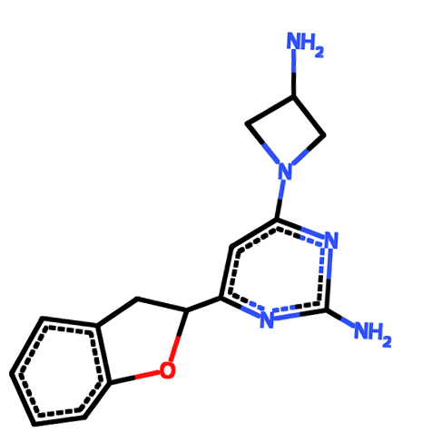 Nc1nc(C2Cc3ccccc3O2)cc(N2CC(N)C2)n1